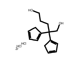 Cl.Cl.OCCCC(CO)(C1=CC=CC1)C1=CC=CC1.[Zr]